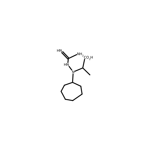 CC(C(=O)O)N(NC(=N)N)C1CCCCCC1